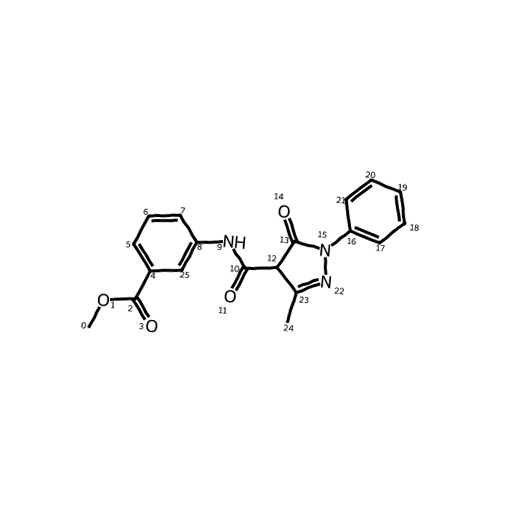 COC(=O)c1cccc(NC(=O)C2C(=O)N(c3ccccc3)N=C2C)c1